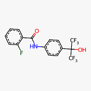 O=C(Nc1ccc(C(O)(C(F)(F)F)C(F)(F)F)cc1)c1ccccc1F